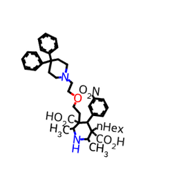 CCCCCCC1(C(=O)O)C(C)NC(C)C(CCOCCN2CCC(c3ccccc3)(c3ccccc3)CC2)(C(=O)O)C1c1cccc([N+](=O)[O-])c1